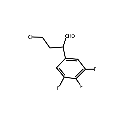 O=CC(CCCl)c1cc(F)c(F)c(F)c1